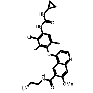 COc1cc2nccc(Oc3c(F)cc(NC(=O)NC4CC4)c(Cl)c3F)c2cc1C(=O)NCCN